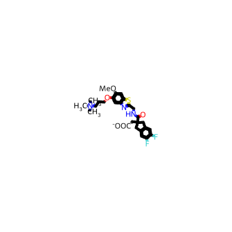 COc1cc2sc(CNC(=O)C3(CC(=O)[O-])Cc4cc(F)c(F)cc4C3)nc2cc1OCCC[N+](C)(C)C